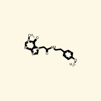 COc1ccc(CCNC(=O)Cn2cnc3ncn(C)c(=O)c32)cc1